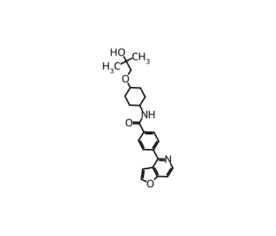 CC(C)(O)COC1CCC(NC(=O)c2ccc(-c3nccc4occc34)cc2)CC1